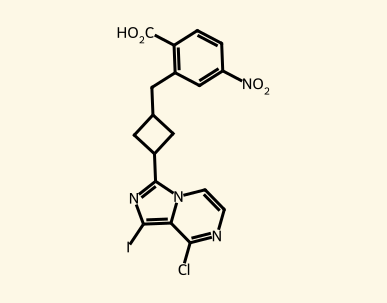 O=C(O)c1ccc([N+](=O)[O-])cc1CC1CC(c2nc(I)c3c(Cl)nccn23)C1